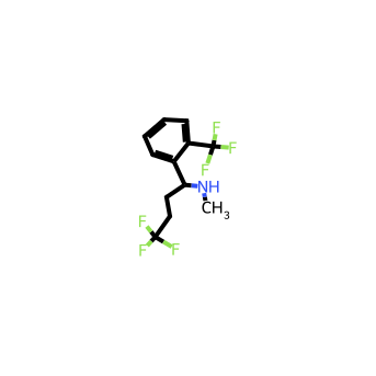 CNC(CCC(F)(F)F)c1ccccc1C(F)(F)F